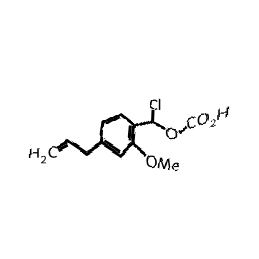 C=CCc1ccc(C(Cl)OC(=O)O)c(OC)c1